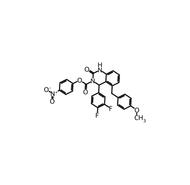 COc1ccc(Cc2cccc3c2C(c2ccc(F)c(F)c2)N(C(=O)Oc2ccc([N+](=O)[O-])cc2)C(=O)N3)cc1